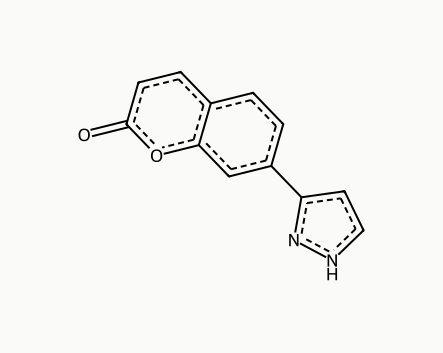 O=c1ccc2ccc(-c3cc[nH]n3)cc2o1